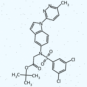 Cc1ccc(-n2ccc3cc(N(CC(=O)OC(C)(C)C)S(=O)(=O)c4cc(Cl)cc(Cl)c4)ccc32)nn1